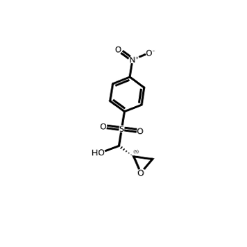 O=[N+]([O-])c1ccc(S(=O)(=O)C(O)[C@@H]2CO2)cc1